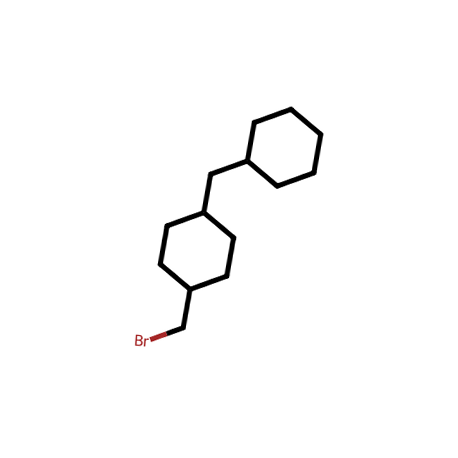 BrCC1CCC(CC2CCCCC2)CC1